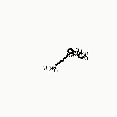 NC(=O)OCCCCCCCCNc1cccc2c1CN(C1CCC(=O)NC1=O)C2=O